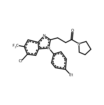 [CH2]Cc1ccc(-n2c(CCC(=O)N3CCCC3)nc3cc(C(F)(F)F)c(Cl)cc32)cc1